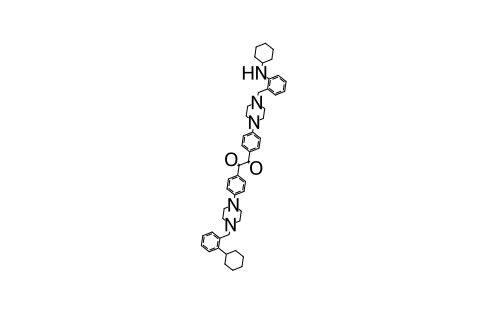 O=C(C(=O)c1ccc(N2CCN(Cc3ccccc3C3CCCCC3)CC2)cc1)c1ccc(N2CCN(Cc3ccccc3NC3CCCCC3)CC2)cc1